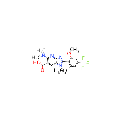 COc1cc(C(F)(F)F)cc(C)c1-c1nc2nc(N(C)C)c(C(=O)O)cc2n1C